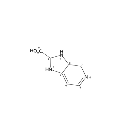 O=C(O)C1NC2=CC=NCC2N1